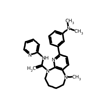 C=C(Nc1ccccn1)N1CCCCN(C)c2ccc(-c3cccc(N(C)C)c3)nc21